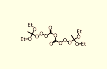 CCOC(C)(OCC)OOOC(=O)OC(=O)OOOC(C)(OCC)OCC